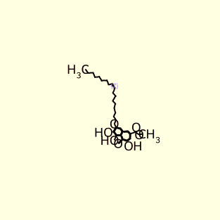 CCCCCCCC/C=C\CCCCCCCCOc1cc2cc(C(=O)OC)cc(O)c(=O)c2c(O)c1O